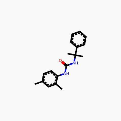 Cc1ccc(NC(=O)NC(C)(C)c2ccccc2)c(C)c1